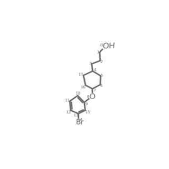 OCCCC1CCC(Oc2cccc(Br)c2)CC1